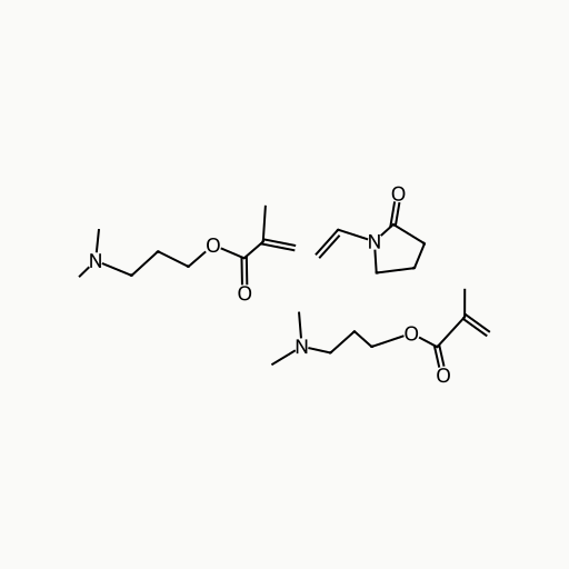 C=C(C)C(=O)OCCCN(C)C.C=C(C)C(=O)OCCCN(C)C.C=CN1CCCC1=O